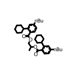 CCCCc1ccc(C(=O)OCC(C)OC(=O)c2ccc(CCCC)cc2C2CCCCC2)c(C2CCCCC2)c1